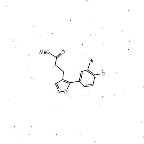 COC(=O)CCc1cnoc1-c1ccc(Cl)c(Br)c1